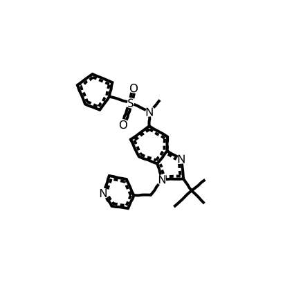 CN(c1ccc2c(c1)nc(C(C)(C)C)n2Cc1ccncc1)S(=O)(=O)c1ccccc1